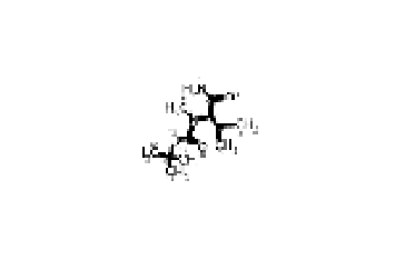 CC(C)C(C(N)=O)N(C)C(=O)OC(C)(C)C